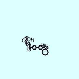 O=C(c1ccc(-c2ccc(C3NCCC34CCCCCCCC4)cc2)cc1)N1CCN(C(=O)C2(O)CC2)CC1